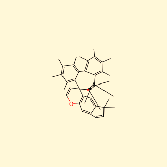 Cc1c(C)c(C)c2c(c1C)-c1c(C)c(C)c(C)c(C)c1C1(C=COc3cc4c(cc31)C(C)(C)C=C4)c1c(C)c(C)c(C)c(C)c1-2